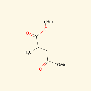 CCCCCCOC(=O)C(C)CC(=O)OC